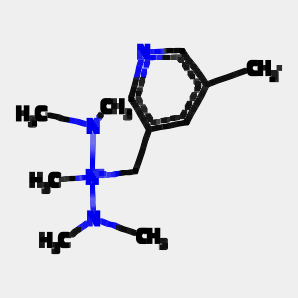 [CH2]c1cncc(C[N+](C)(N(C)C)N(C)C)c1